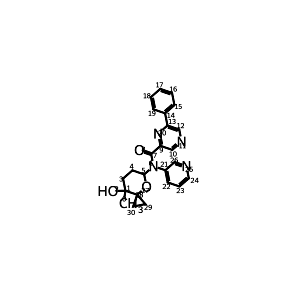 CC1(O)CCC(N(C(=O)c2cncc(-c3ccccc3)n2)c2cccnc2)OC12CC2